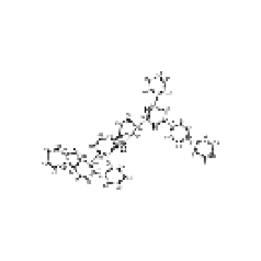 c1ccc(-c2ccc(-c3nc(-c4ccccc4)nc(-c4ccc5c(c4)oc4cc(-c6c(-c7ccccc7)ccc7c6sc6ccccc67)ccc45)n3)cc2)cc1